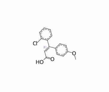 COc1ccc(/C(=C\C(=O)O)c2ccccc2Cl)cc1